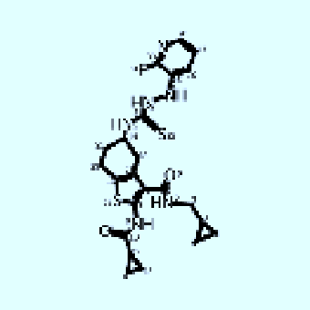 O=C(NCC1CC1)c1c(NC(=O)C2CC2)sc2c1C[C@@H](NC(=S)NNc1cccnc1F)CC2